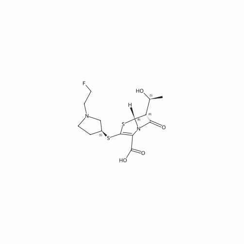 C[C@H](O)[C@@H]1C(=O)N2C(C(=O)O)=C(S[C@H]3CCN(CCF)C3)S[C@H]12